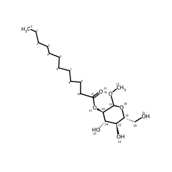 CCCCCCCCCCCC(=O)O[C@H]1C(OC)O[C@H](CO)[C@@H](O)[C@@H]1O